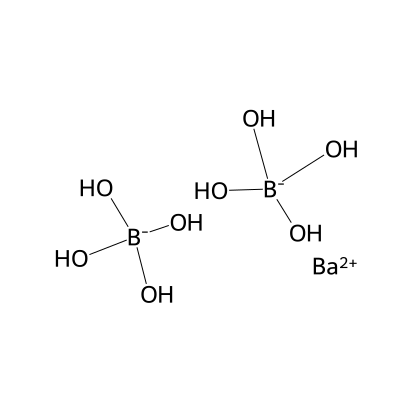 O[B-](O)(O)O.O[B-](O)(O)O.[Ba+2]